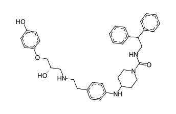 O=C(NCC(c1ccccc1)c1ccccc1)N1CCC(Nc2ccc(CCNC[C@H](O)COc3ccc(O)cc3)cc2)CC1